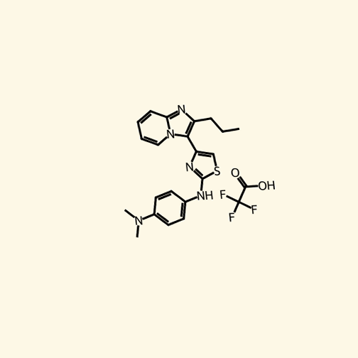 CCCc1nc2ccccn2c1-c1csc(Nc2ccc(N(C)C)cc2)n1.O=C(O)C(F)(F)F